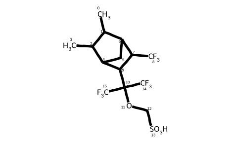 CC1C(C)C2CC1C(C(F)(F)F)C2C(OCS(=O)(=O)O)(C(F)(F)F)C(F)(F)F